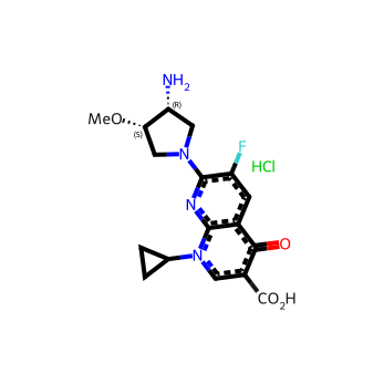 CO[C@H]1CN(c2nc3c(cc2F)c(=O)c(C(=O)O)cn3C2CC2)C[C@H]1N.Cl